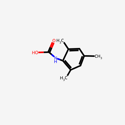 Cc1cc(C)c(NC(=O)O)c(C)c1